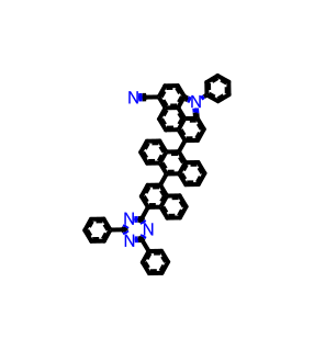 N#Cc1ccc2c3c1ccc1c(-c4c5ccccc5c(-c5ccc(-c6nc(-c7ccccc7)nc(-c7ccccc7)n6)c6ccccc56)c5ccccc45)ccc(c13)n2-c1ccccc1